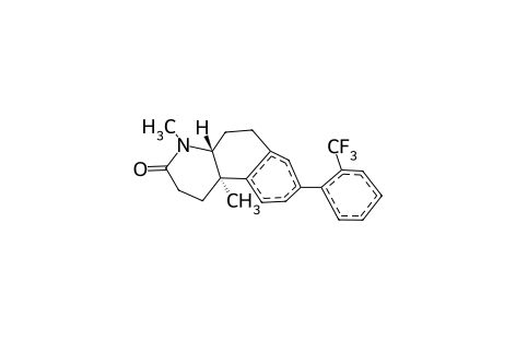 CN1C(=O)CC[C@]2(C)c3ccc(-c4ccccc4C(F)(F)F)cc3CC[C@@H]12